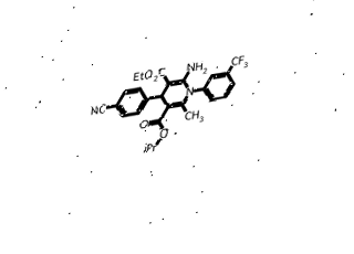 CCOC(=O)C1=C(N)N(c2cccc(C(F)(F)F)c2)C(C)=C(C(=O)OC(C)C)C1c1ccc(C#N)cc1